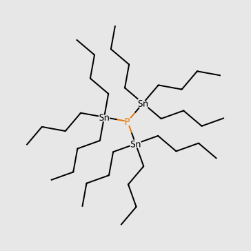 CCC[CH2][Sn]([CH2]CCC)([CH2]CCC)[P]([Sn]([CH2]CCC)([CH2]CCC)[CH2]CCC)[Sn]([CH2]CCC)([CH2]CCC)[CH2]CCC